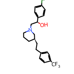 O[C@@H](CN1CCC[C@H](CCc2ccc(C(F)(F)F)cc2)C1)c1ccc(Cl)cc1